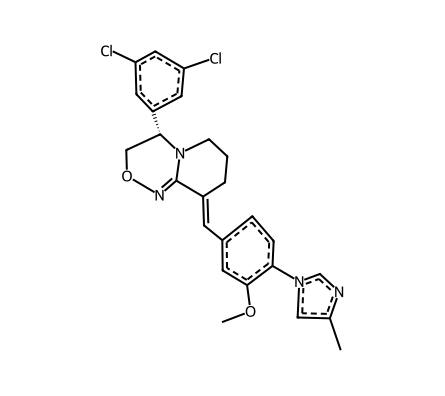 COc1cc(/C=C2\CCCN3C2=NOC[C@@H]3c2cc(Cl)cc(Cl)c2)ccc1-n1cnc(C)c1